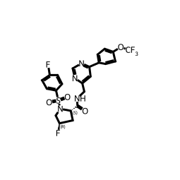 O=C(NCc1cc(-c2ccc(OC(F)(F)F)cc2)ncn1)[C@@H]1C[C@@H](F)CN1S(=O)(=O)c1ccc(F)cc1